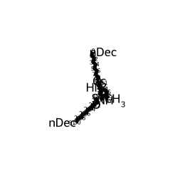 CCCCCCCCCCCCCCCCCCOC(=S)Nc1ccc(C)c(NC(=S)OCCCCCCCCCCCCCCCCCC)c1